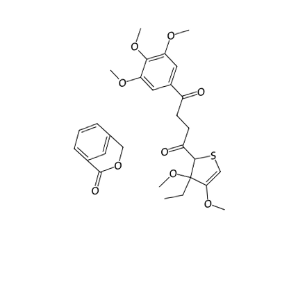 CCC1(OC)C(OC)=CSC1C(=O)CCC(=O)c1cc(OC)c(OC)c(OC)c1.O=C1OCc2cccc1c2